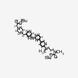 CN(CCCN(C)c1ccc(-c2ccnc(Nc3cncc(CN4CCN(CC(=O)OC(C)(C)C)CC4)c3)n2)cn1)C(=O)OC(C)(C)C